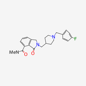 CNC(=O)c1cccc2c1C(=O)N(CC1CCN(Cc3ccc(F)cc3)CC1)C2